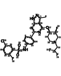 Cc1n[nH]c2nc(-c3ccc(NS(=O)(=O)c4cc(Cl)ccc4F)cc3)nc(O[C@@H]3CCN(CC(F)F)C[C@@H]3F)c12